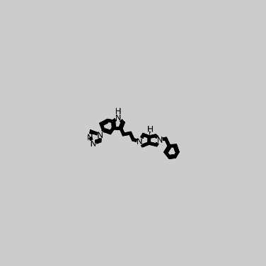 c1ccc(CN2CC3CN(CCCc4c[nH]c5ccc(-n6cnnc6)cc45)C[C@H]3C2)cc1